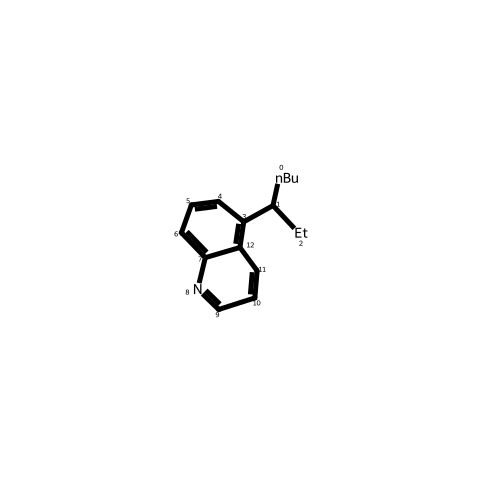 CCCCC(CC)c1cccc2ncccc12